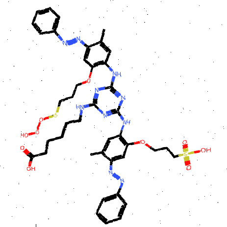 Cc1cc(Nc2nc(NCCCCCC(=O)O)nc(Nc3cc(C)c(N=Nc4ccccc4)cc3OCCCS(=O)(=O)O)n2)c(OCCCSOOO)cc1N=Nc1ccccc1